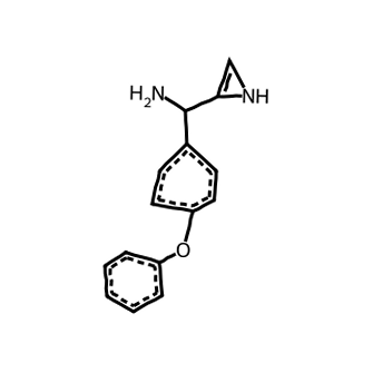 NC(C1=CN1)c1ccc(Oc2ccccc2)cc1